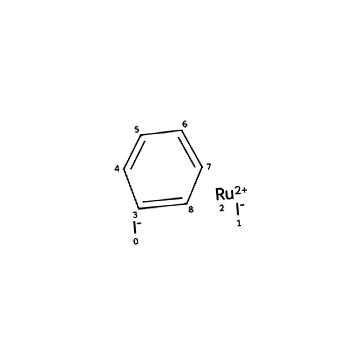 [I-].[I-].[Ru+2].c1ccccc1